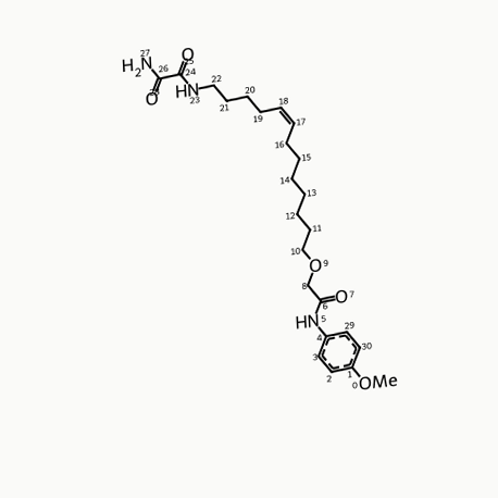 COc1ccc(NC(=O)COCCCCCCC/C=C\CCCCNC(=O)C(N)=O)cc1